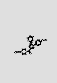 COc1ccc(-n2nc(C(=O)N3CCN(C=O)CC3)cc2-c2ccccn2)nn1